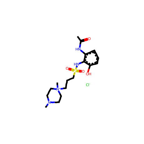 CC(=O)Nc1cccc(O)c1NS(=O)(=O)CCC[N+]1(C)CCN(C)CC1.[Cl-]